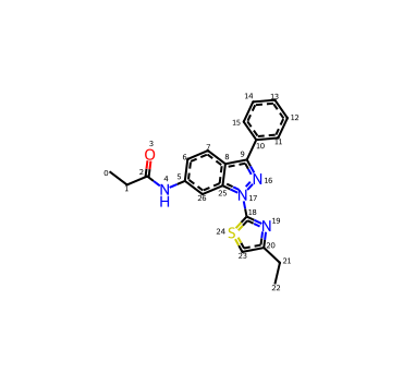 CCC(=O)Nc1ccc2c(-c3ccccc3)nn(-c3nc(CC)cs3)c2c1